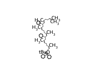 CC(C)=CCC/C(C)=C/C(C/C(C)=C\CC/C(C)=C\C(C/C(C)=C\CC/C(C)=C\CO[Si](c1ccccc1)(c1ccccc1)C(C)(C)C)c1ccccc1)c1ccccc1